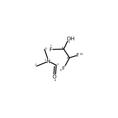 CN(C)C=O.OC(F)C(F)F